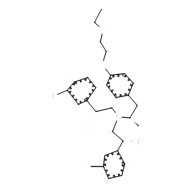 CCOCCOc1ccc(C[C@@H](C)N(C[C@H](O)c2cccc(F)c2)C[C@H](O)c2cccc(F)c2)cc1